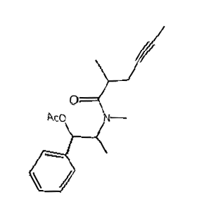 CC#CCC(C)C(=O)N(C)C(C)C(OC(C)=O)c1ccccc1